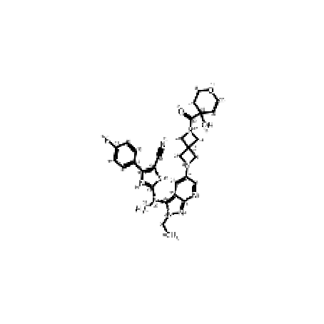 CCn1nc2ncc(N3CC4(CN(C(=O)C5(O)CCOCC5)C4)C3)cc2c1N(C)c1nc(-c2ccc(F)cc2)c(C#N)s1